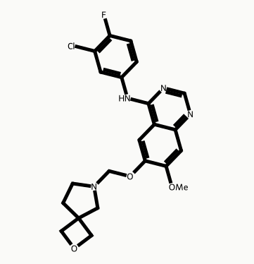 COc1cc2ncnc(Nc3ccc(F)c(Cl)c3)c2cc1OCN1CCC2(COC2)C1